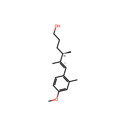 COc1ccc(/C=C(\C)[C@H](C)CCCO)c(C)c1